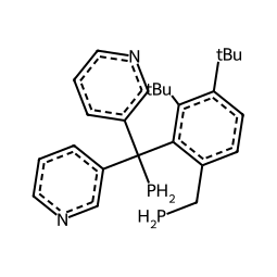 CC(C)(C)c1ccc(CP)c(C(P)(c2cccnc2)c2cccnc2)c1C(C)(C)C